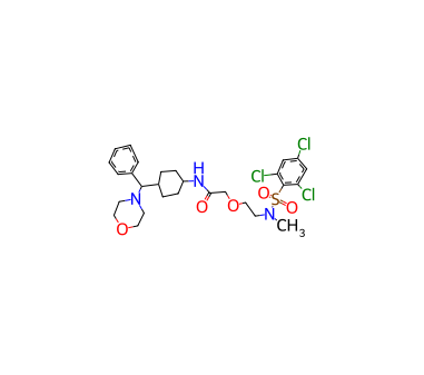 CN(CCOCC(=O)NC1CCC(C(c2ccccc2)N2CCOCC2)CC1)S(=O)(=O)c1c(Cl)cc(Cl)cc1Cl